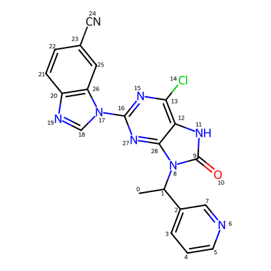 CC(c1cccnc1)n1c(=O)[nH]c2c(Cl)nc(-n3cnc4ccc(C#N)cc43)nc21